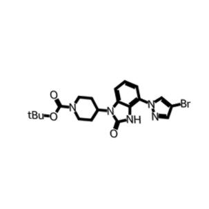 CC(C)(C)OC(=O)N1CCC(n2c(=O)[nH]c3c(-n4cc(Br)cn4)cccc32)CC1